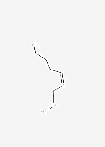 CCCC/C=N\CNC